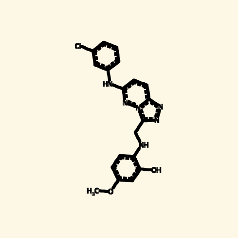 COc1ccc(NCc2nnc3ccc(Nc4cccc(Cl)c4)nn23)c(O)c1